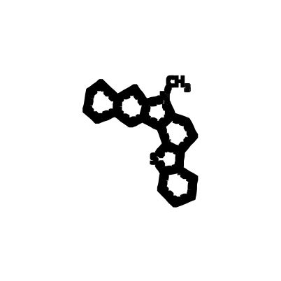 Cn1c2cc3ccccc3cc2c2c3sc4ccccc4c3ccc21